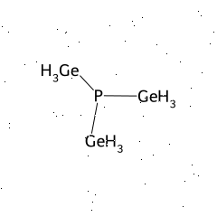 [GeH3][P]([GeH3])[GeH3]